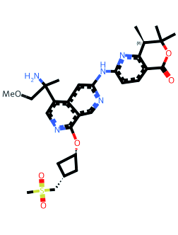 COCC(C)(N)c1cnc(O[C@H]2C[C@@H](CS(C)(=O)=O)C2)c2cnc(Nc3ccc4c(n3)[C@@H](C)C(C)(C)OC4=O)cc12